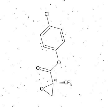 O=C(Oc1ccc(Cl)cc1)[C@@]1(C(F)(F)F)CO1